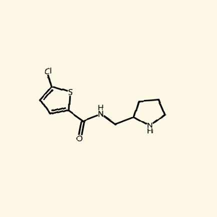 O=C(NCC1CCCN1)c1ccc(Cl)s1